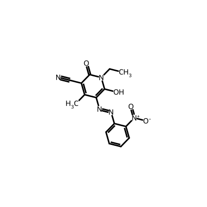 CCn1c(O)c(N=Nc2ccccc2[N+](=O)[O-])c(C)c(C#N)c1=O